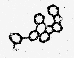 N#Cc1cncc(-c2cccc(-c3ccccc3-n3c4ccccc4c4ccc5oc6ccccc6c5c43)c2)c1